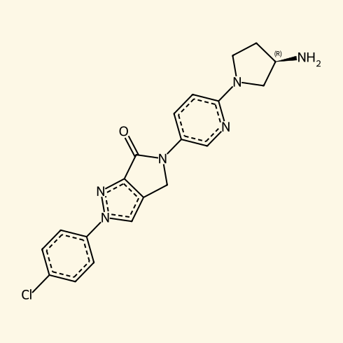 N[C@@H]1CCN(c2ccc(N3Cc4cn(-c5ccc(Cl)cc5)nc4C3=O)cn2)C1